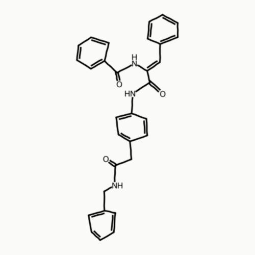 O=C(Cc1ccc(NC(=O)/C(=C/c2ccccc2)NC(=O)c2ccccc2)cc1)NCc1ccccc1